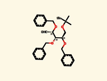 CC(C)(C)[Si](C)(C)OC[C@@H](OCc1ccccc1)[C@H](OCc1ccccc1)[C@H](C=O)OCc1ccccc1